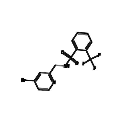 O=S(=O)(NCc1cc(Br)ccn1)c1ccccc1C(F)(F)F